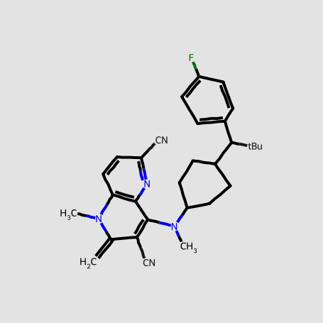 C=C1C(C#N)=C(N(C)C2CCC(C(c3ccc(F)cc3)C(C)(C)C)CC2)c2nc(C#N)ccc2N1C